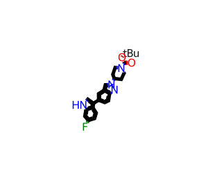 CC(C)(C)OC(=O)N1CCC(n2cc3cc(-c4c[nH]c5cc(F)ccc45)ccc3n2)CC1